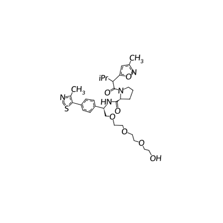 Cc1cc(C(C(=O)N2CCC[C@H]2C(=O)N[C@@H](COCCOCCOCCO)c2ccc(-c3scnc3C)cc2)C(C)C)on1